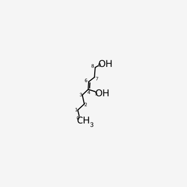 CCCCC(O)=CCCO